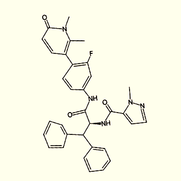 Cc1c(-c2ccc(NC(=O)[C@@H](NC(=O)c3ccnn3C)C(c3ccccc3)c3ccccc3)cc2F)ccc(=O)n1C